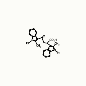 CCn1c(C)c(C(=O)CC(C(=O)O)c2c(C)n(CC)c3ccccc23)c2ccccc21